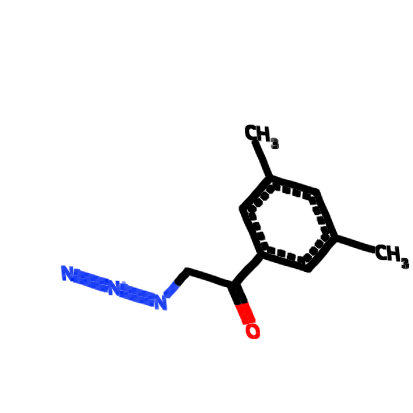 Cc1cc(C)cc(C(=O)CN=[N+]=[N-])c1